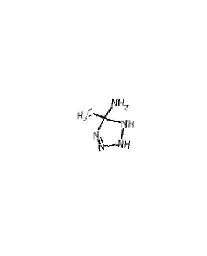 CC1(N)N=NNN1